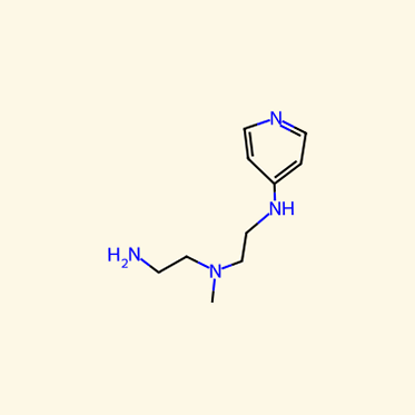 CN(CCN)CCNc1ccncc1